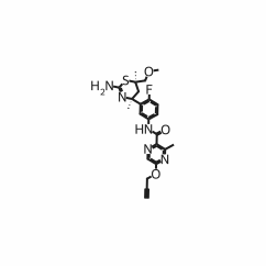 C#CCOc1cnc(C(=O)Nc2ccc(F)c([C@]3(C)C[C@](C)(COC)SC(N)=N3)c2)c(C)n1